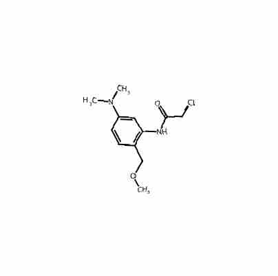 COCc1ccc(N(C)C)cc1NC(=O)CCl